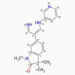 CN1C(=O)C(C)(C)c2ccc(/C(C=N)=C/Nc3cccnc3)cc21